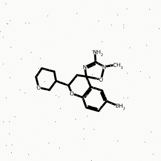 Bc1ccc2c(c1)C1(CC(C3CCCOC3)O2)N=C(N)N(C)O1